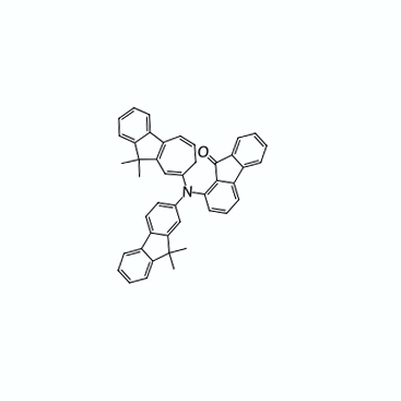 CC1(C)C2=C(C=CCC(N(c3ccc4c(c3)C(C)(C)c3ccccc3-4)c3cccc4c3C(=O)c3ccccc3-4)=C2)c2ccccc21